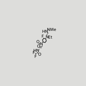 CCN(CCNNC)c1ccc(N2C[C@H](CNC(=O)C(F)F)OC2=O)cc1F